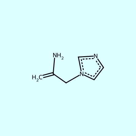 C=C(N)Cn1ccnc1